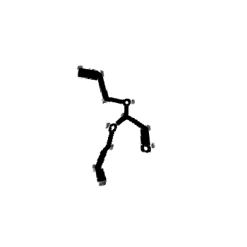 C=CCOC([C]=O)OCC=C